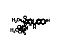 C=CCn1c(=O)c2cnc(Nc3ccc4c(c3)CCNC4)nc2n1-c1cc(C(C)(C)C)ncn1